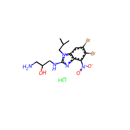 CC(C)Cn1c(NCC(O)CN)nc2c([N+](=O)[O-])c(Br)c(Br)cc21.Cl